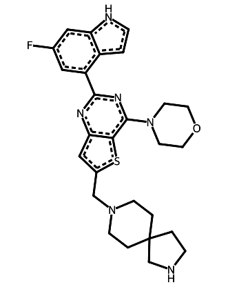 Fc1cc(-c2nc(N3CCOCC3)c3sc(CN4CCC5(CCNC5)CC4)cc3n2)c2cc[nH]c2c1